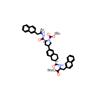 COC(=O)C(Cc1ccc2ccccc2c1)NC(=O)[C@H]1CCc2cc(C3C[C@@H](C(=O)NC(Cc4ccc5ccccc5c4)C(C)=O)N(C(=O)OC(C)(C)C)C3)ccc2C1